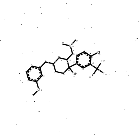 COc1cccc(CC2CCC(O)(c3ccc(Cl)c(C(F)(F)F)c3)C(CN(C)C)C2)c1